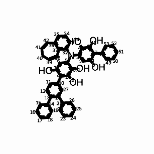 Oc1cc(N(c2cc(O)c(-c3ccc(-c4ccccc4)c(-c4ccccc4)c3)c(O)c2O)c2cccc3c2C=CCC=C3)c(O)c(O)c1-c1ccccc1